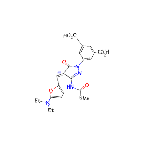 CCN(CC)c1ccc(/C=C2/C(=O)N(c3cc(C(=O)O)cc(C(=O)O)c3)N=C2NC(=O)NC)o1